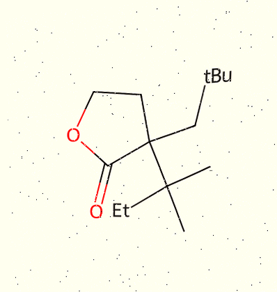 CCC(C)(C)C1(CC(C)(C)C)CCOC1=O